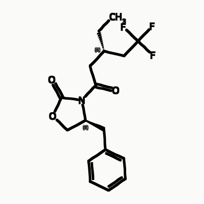 CC[C@@H](CC(=O)N1C(=O)OC[C@@H]1Cc1ccccc1)CC(F)(F)F